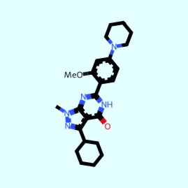 COc1cc(N2CC[CH]CC2)ccc1-c1nc2c(c(C3CCCCC3)nn2C)c(=O)[nH]1